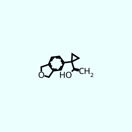 C=C(O)C1(c2ccc3c(c2)COC3)CC1